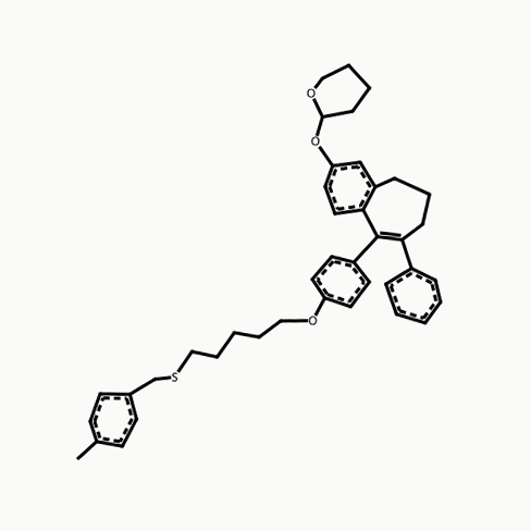 Cc1ccc(CSCCCCCOc2ccc(C3=C(c4ccccc4)CCCc4cc(OC5CCCCO5)ccc43)cc2)cc1